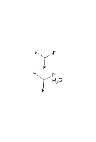 FC(F)F.F[C](F)F.O